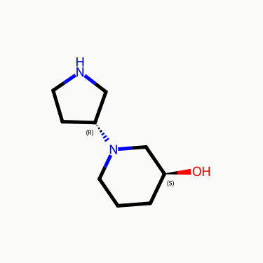 O[C@H]1CCCN([C@@H]2CCNC2)C1